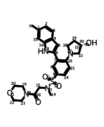 Cc1ccc2cc(-c3cc(S(=O)(=O)N(C)CC(=O)N4CCOCC4)ccc3N3CC[C@H](O)C3)[nH]c2c1